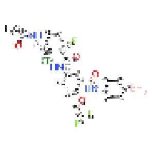 Bc1ccc(NC(=O)c2cc(NC(=O)c3c(F)ccc(CNC(=O)C(F)(F)F)c3Cl)ccc2OCC(F)F)cc1